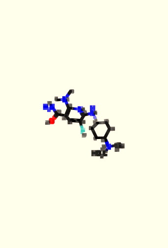 CN(C)c1nc(N[C@H]2CC[C@H](N(C(=O)O)C(C)(C)C)CC2)c(F)cc1C(N)=O